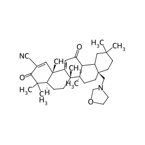 CC1(C)CC[C@]2(CN3CCOC3)CC[C@]3(C)C(C(=O)C=C4[C@@]5(C)C=C(C#N)C(=O)C(C)(C)[C@@H]5CC[C@]43C)C2C1